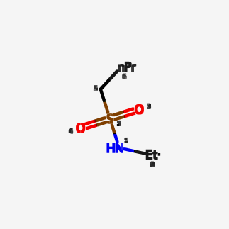 C[CH]NS(=O)(=O)CCCC